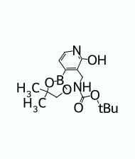 CC(C)(C)OC(=O)NCc1c(B2OCC(C)(C)O2)ccnc1O